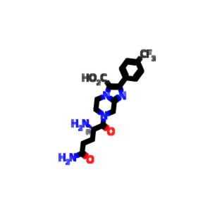 NC(=O)CC[C@H](N)C(=O)N1CCn2c(nc(-c3ccc(C(F)(F)F)cc3)c2C(=O)O)C1